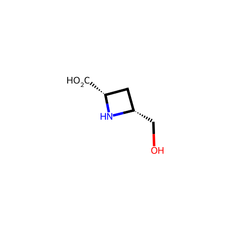 O=C(O)[C@@H]1C[C@H](CO)N1